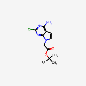 CC(C)(C)OC(=O)Cn1ccc2c(N)nc(Cl)nc21